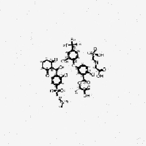 CS(=O)(=O)c1ccc(C(=O)C2C(=O)CCCC2=O)c(Cl)c1.C[C@H](OC(=O)c1cc(Oc2ccc(C(F)(F)F)cc2Cl)ccc1Cl)C(=O)O.C[S+](C)C.O=C(O)CNCP(=O)([O-])O